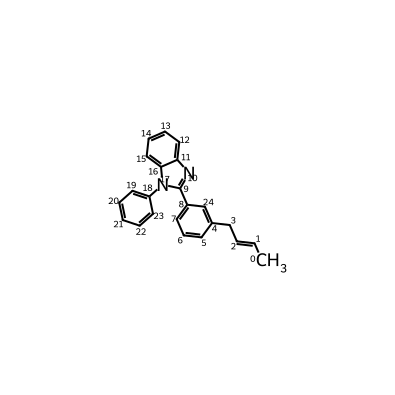 C/C=C/Cc1cccc(-c2nc3ccccc3n2-c2ccccc2)c1